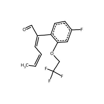 C/C=C\C=C(\C=O)c1ccc(F)cc1OCC(F)(F)F